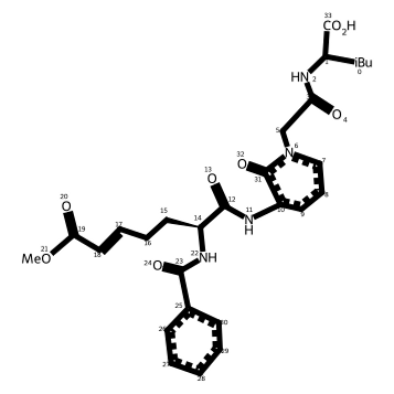 CCC(C)C(NC(=O)Cn1cccc(NC(=O)[C@H](CC/C=C/C(=O)OC)NC(=O)c2ccccc2)c1=O)C(=O)O